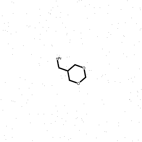 CCCCC1COCOC1